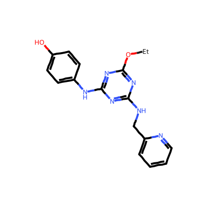 CCOc1nc(NCc2ccccn2)nc(Nc2ccc(O)cc2)n1